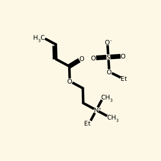 CC=CC(=O)OCC[N+](C)(C)CC.CCOS(=O)(=O)[O-]